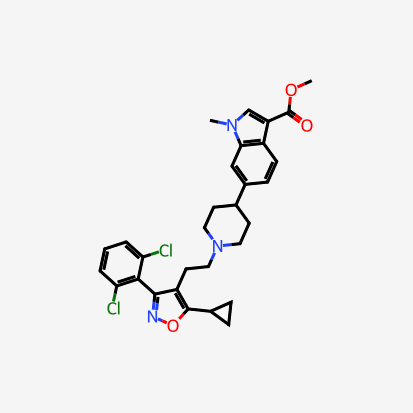 COC(=O)c1cn(C)c2cc(C3CCN(CCc4c(-c5c(Cl)cccc5Cl)noc4C4CC4)CC3)ccc12